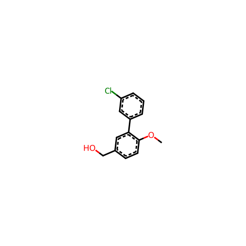 COc1ccc(CO)cc1-c1cccc(Cl)c1